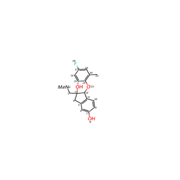 CNCC1(O)Cc2cc(O)ccc2C1Oc1ccc(F)cc1C